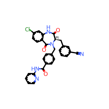 N#Cc1cccc(C[C@@H]2C(=O)Nc3cc(Cl)ccc3C(=O)N2Cc2ccc(C(=O)Nc3ccccn3)cc2)c1